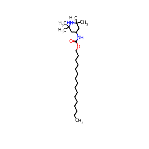 CCCCCCCCCCCCCCCCOC(=O)NC1CC(C)(C)NC(C)(C)C1